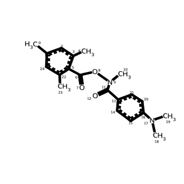 Cc1cc(C)c(C(=O)ON(C)C(=O)c2ccc(N(C)C)cc2)c(C)c1